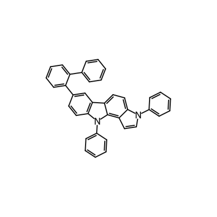 c1ccc(-c2ccccc2-c2ccc3c(c2)c2ccc4c(ccn4-c4ccccc4)c2n3-c2ccccc2)cc1